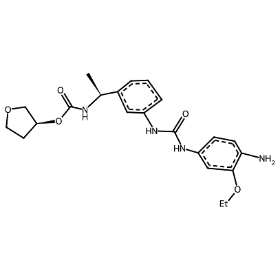 CCOc1cc(NC(=O)Nc2cccc([C@H](C)NC(=O)O[C@H]3CCOC3)c2)ccc1N